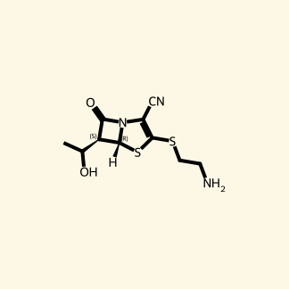 CC(O)[C@H]1C(=O)N2C(C#N)=C(SCCN)S[C@H]12